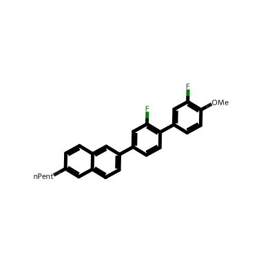 CCCCCc1ccc2cc(-c3ccc(-c4ccc(OC)c(F)c4)c(F)c3)ccc2c1